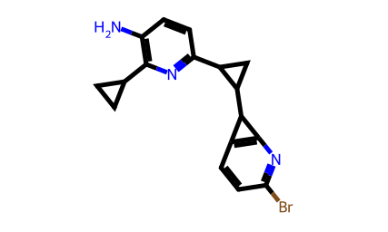 Nc1ccc(C2CC2C2c3ccc(Br)nc32)nc1C1CC1